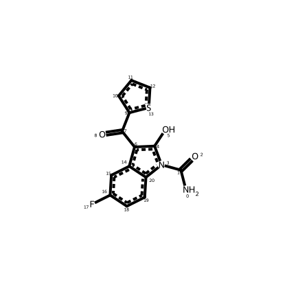 NC(=O)n1c(O)c(C(=O)c2cccs2)c2cc(F)ccc21